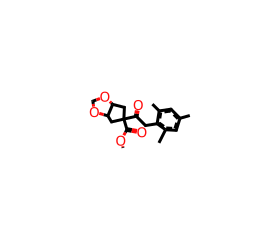 COC(=O)C1(C(=O)Cc2c(C)cc(C)cc2C)CC2OCOC2C1